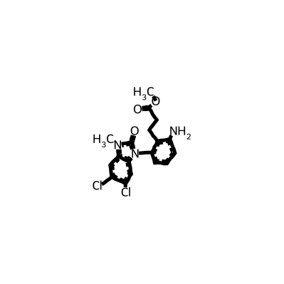 COC(=O)CCc1c(N)cccc1-n1c(=O)n(C)c2cc(Cl)c(Cl)cc21